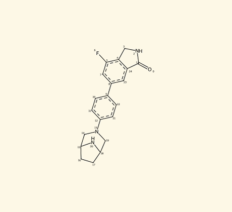 O=C1NCc2c(F)cc(-c3ccc(N4CC5CCC(C4)N5)cc3)cc21